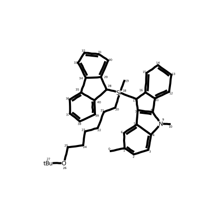 Cc1ccc2c(c1)c1c(n2C)-c2ccccc2C1[Si](C)(CCCCCCOC(C)(C)C)C1c2ccccc2-c2ccccc21